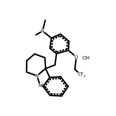 CN(C)c1ccc(OCC(F)(F)F)c(CC2(c3ccccc3)CCCCN2N)c1.Cl